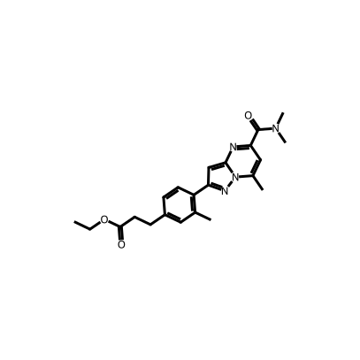 CCOC(=O)CCc1ccc(-c2cc3nc(C(=O)N(C)C)cc(C)n3n2)c(C)c1